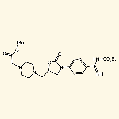 CCOC(=O)NC(=N)c1ccc(N2CC(CN3CCN(CC(=O)OC(C)(C)C)CC3)OC2=O)cc1